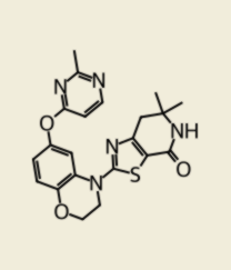 Cc1nccc(Oc2ccc3c(c2)N(c2nc4c(s2)C(=O)NC(C)(C)C4)CCO3)n1